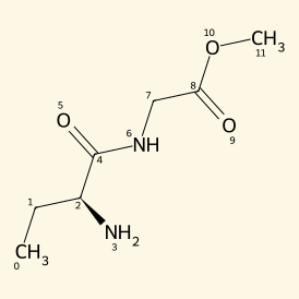 CC[C@H](N)C(=O)NCC(=O)OC